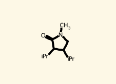 CC(C)C1CN(C)C(=O)C1C(C)C